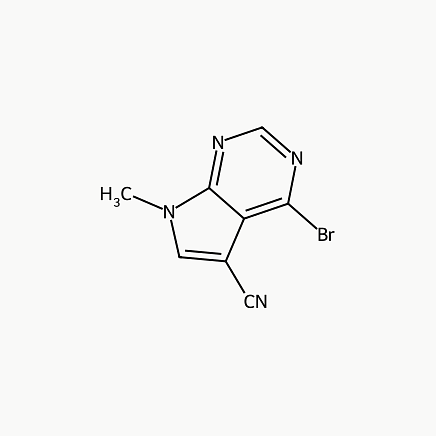 Cn1cc(C#N)c2c(Br)ncnc21